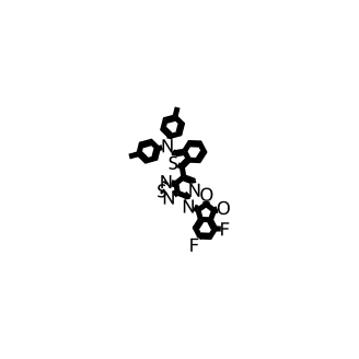 Cc1ccc(N(c2ccc(C)cc2)c2sc(-c3cnc(/N=c4\c(=O)c(=O)c5c(F)cc(F)cc45)c4nsnc34)c3ccccc23)cc1